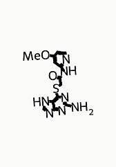 COc1ccnc(NC(=O)CSc2nc(N)nc3nc[nH]c23)c1